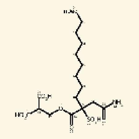 CCCCCCCCCCCCCCCCCCC(CC(N)=O)(C(=O)OCC(C(=O)O)C(=O)O)S(=O)(=O)O